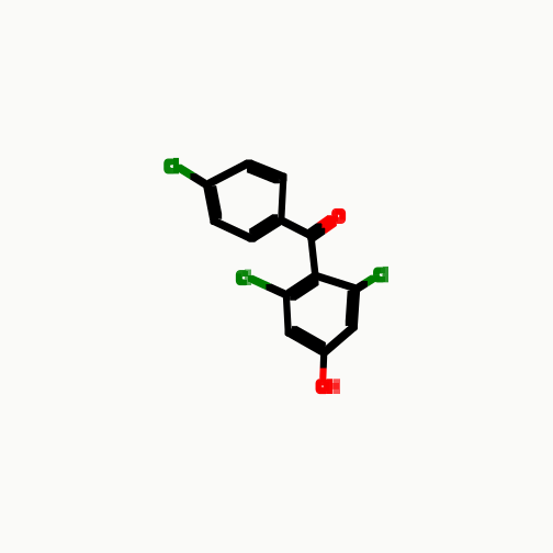 O=C(c1ccc(Cl)cc1)c1c(Cl)cc(O)cc1Cl